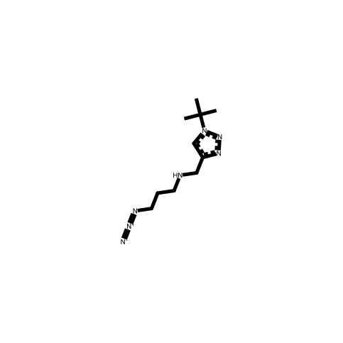 CC(C)(C)n1cc(CNCCCN=[N+]=[N-])nn1